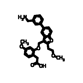 COCCc1oc2ccc(-c3cccc(CN)c3)cc2c1COc1cc(OC)ccc1CC(=O)O